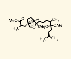 COC(=O)C(C)C[C@@]12CC[C@@H](O1)[C@](C)(CCCC(C)C(CC=C(C)C)(OC)OC)OC2